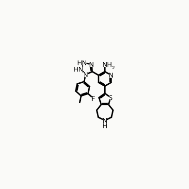 Cc1ccc(N2NNN=C2c2cc(-c3cc4c(s3)CCNCC4)cnc2N)cc1F